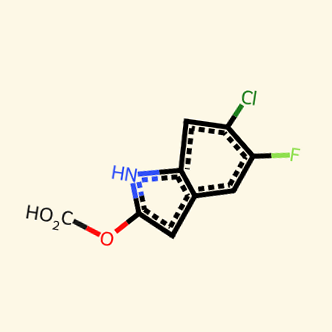 O=C(O)Oc1cc2cc(F)c(Cl)cc2[nH]1